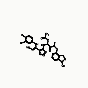 CN(Cc1cccc2c1COB2O)C(=O)C(Nc1nonc1C(=NO)Nc1ccc(F)c(Br)c1)OC(=O)C(F)(F)F